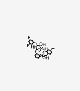 CCc1ccc2c(c1)[C@@H](NC[C@@H](O)[C@H](Cc1cc(F)cc(F)c1)NC(=O)Cc1ccccc1)CS(O)(O)C2